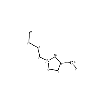 CCCCN1CCC(OC)C1